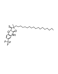 CCCCCCCCCCCCCCCCCCC(C)(C)C(=S)C1Oc2ccc(C(F)(F)F)cc2NC1=O